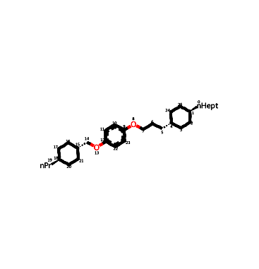 CCCCCCC[C@H]1CC[C@H](CCCOc2ccc(OC[C@H]3CC[C@H](CCC)CC3)cc2)CC1